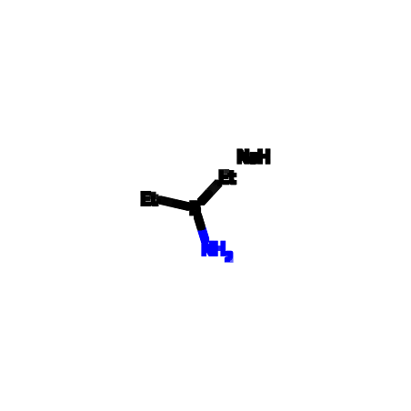 CCB(N)CC.[NaH]